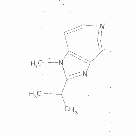 CC(C)c1nc2cnccc2n1C